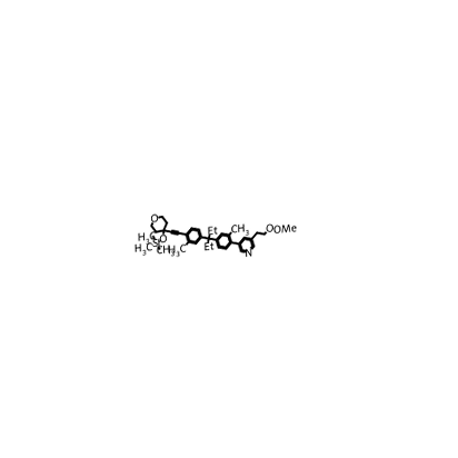 CCC(CC)(c1ccc(C#CC2(O[Si](C)(C)C)CCOCC2)c(C)c1)c1ccc(-c2cncc(CCOOC)c2)c(C)c1